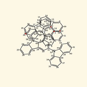 c1ccc(-c2ccccc2-n2c3ccccc3c3cccc(-n4c5ccccc5c5cc(-n6c7ccccc7c7ccccc76)cc([Si](c6ccccc6)(c6ccccc6)c6ccccc6)c54)c32)cc1